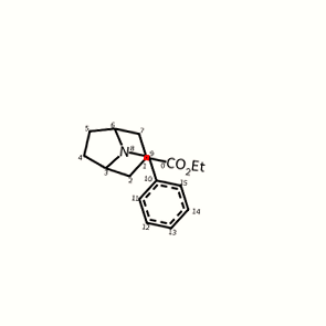 CCOC(=O)C1CC2CCC(C1)N2Cc1ccccc1